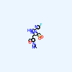 Cc1cn(-c2ccc(/C=C3\CC4(CCS(=O)(=O)C4)CN4C3=NNCC4c3ccc(F)cn3)c3c2OCC3)cn1